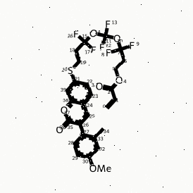 C=CC(=O)OCCC(F)(F)OC(F)(F)OC(F)(F)CCSc1ccc2cc(-c3ccc(OC)cc3C)c(=O)oc2c1